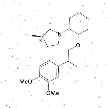 COc1ccc(C(C)COC2CCCCC2N2CC[C@@H](C)C2)cc1OC